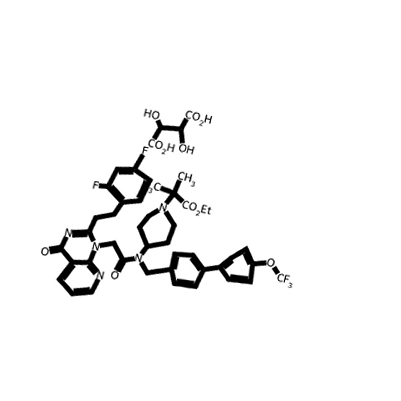 CCOC(=O)C(C)(C)N1CCC(N(Cc2ccc(-c3ccc(OC(F)(F)F)cc3)cc2)C(=O)Cn2c(CCc3ccc(F)cc3F)nc(=O)c3cccnc32)CC1.O=C(O)C(O)C(O)C(=O)O